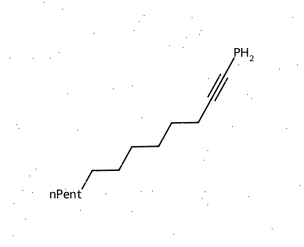 CCCCCCCCCCCC#CP